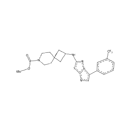 CC(C)(C)OC(=O)N1CCC2(CC1)CC(Nc1nn3c(-c4cccc(C(F)(F)F)c4)cnc3s1)C2